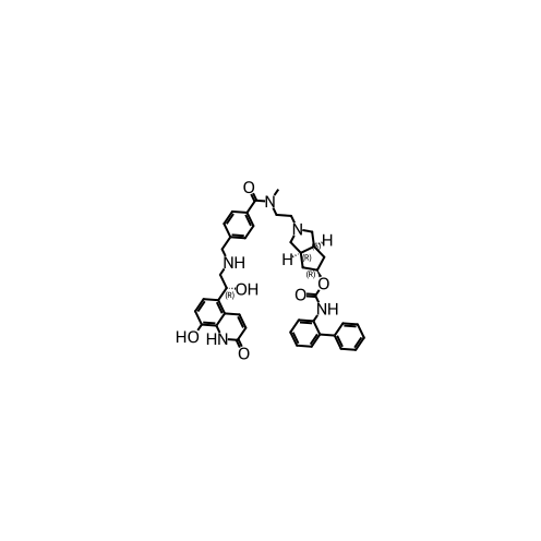 CN(CCN1C[C@H]2C[C@@H](OC(=O)Nc3ccccc3-c3ccccc3)C[C@H]2C1)C(=O)c1ccc(CNC[C@H](O)c2ccc(O)c3[nH]c(=O)ccc23)cc1